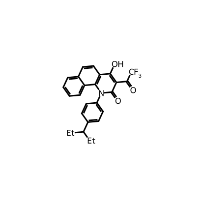 CCC(CC)c1ccc(-n2c(=O)c(C(=O)C(F)(F)F)c(O)c3ccc4ccccc4c32)cc1